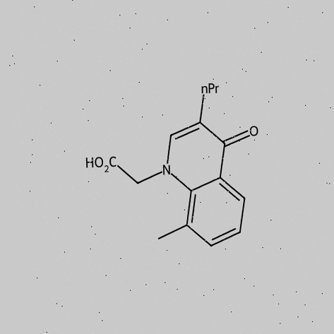 CCCc1cn(CC(=O)O)c2c(C)cccc2c1=O